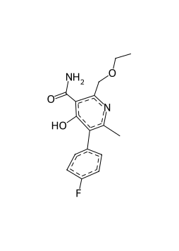 CCOCc1nc(C)c(-c2ccc(F)cc2)c(O)c1C(N)=O